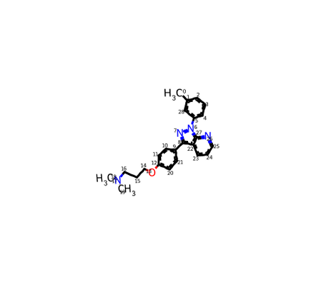 Cc1cccc(-n2nc(-c3ccc(OCCCN(C)C)cc3)c3cccnc32)c1